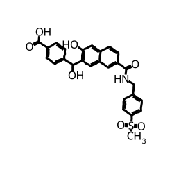 CS(=O)(=O)c1ccc(CNC(=O)c2ccc3cc(O)c(C(O)c4ccc(C(=O)O)cc4)cc3c2)cc1